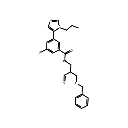 CCCn1nncc1-c1cc(F)cc(C(=O)NCC(C=O)COCc2ccccc2)c1